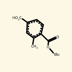 Cc1cc(C(=O)O)ccc1C(=O)OC(C)(C)C